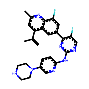 C=C(C)c1cc(C)nc2c(F)cc(-c3nc(Nc4ccc(N5CCNCC5)cn4)ncc3F)cc12